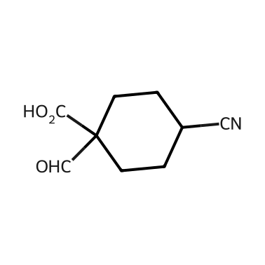 N#CC1CCC(C=O)(C(=O)O)CC1